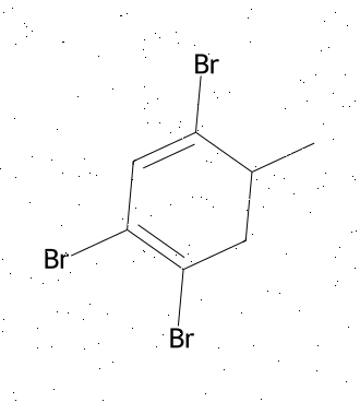 CC1CC(Br)=C(Br)C=C1Br